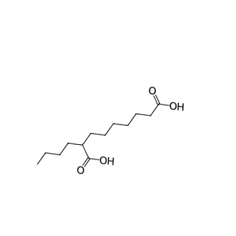 CCCCC(CCCCCCC(=O)O)C(=O)O